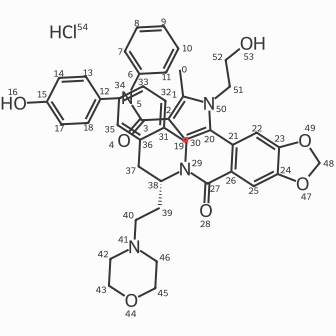 Cc1c(C(=O)N(c2ccccc2)c2ccc(O)cc2)cc(-c2cc3c(cc2C(=O)N2Cc4ccccc4C[C@H]2CCN2CCOCC2)OCO3)n1CCO.Cl